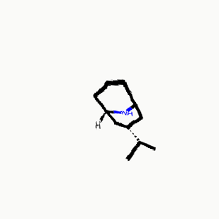 CC(C)[C@H]1CC2CCC[C@@H](C1)N2